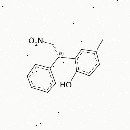 Cc1ccc(O)c([C@@H](C[N+](=O)[O-])c2ccccc2)c1